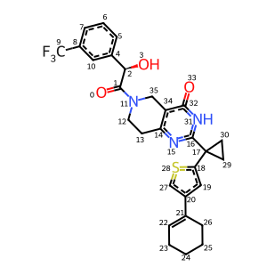 O=C([C@H](O)c1cccc(C(F)(F)F)c1)N1CCc2nc(C3(c4cc(C5=CCCCC5)cs4)CC3)[nH]c(=O)c2C1